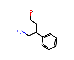 NCC(CC[O])c1ccccc1